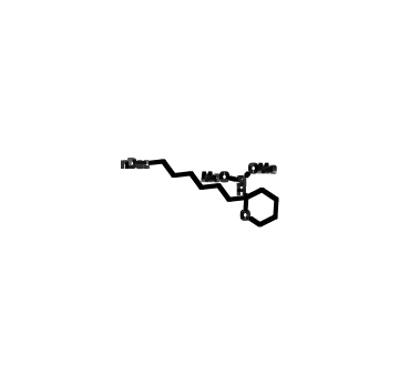 CCCCCCCCCCCCCCCCC1([SiH](OC)OC)CCCCO1